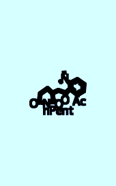 CCCCCN1C(=O)CCC(CC(=O)c2c(C(C)=O)cccc2N(C)C)C1=O